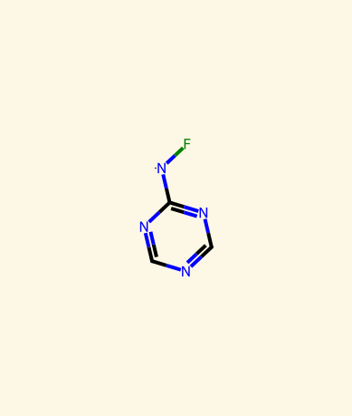 F[N]c1ncncn1